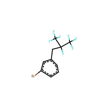 FC(F)(F)C(F)(Cc1cc[c]c(Br)c1)C(F)(F)F